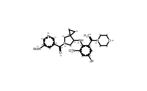 C=C(c1cc(Br)cc([N+](=O)[O-])c1NC1CN(C(=O)c2cncc(NC)c2)CC12CC2)N1CCOCC1